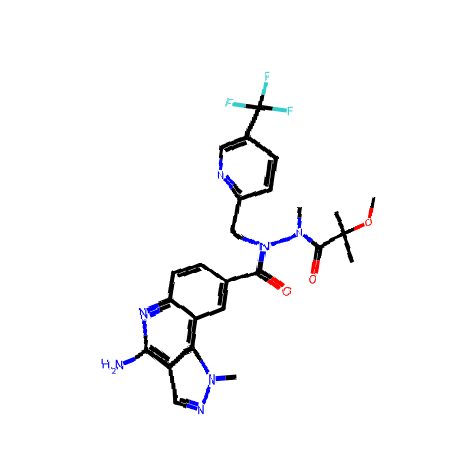 COC(C)(C)C(=O)N(C)N(Cc1ccc(C(F)(F)F)cn1)C(=O)c1ccc2nc(N)c3cnn(C)c3c2c1